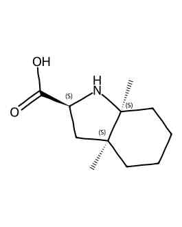 C[C@@]12CCCC[C@]1(C)N[C@H](C(=O)O)C2